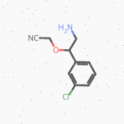 N#CCOC(CN)c1cccc(Cl)c1